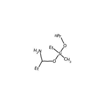 CCCO[Si](C)(CC)OC(N)CC